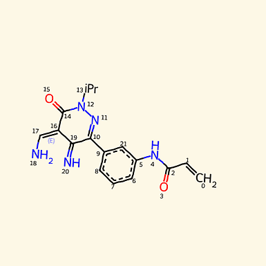 C=CC(=O)Nc1cccc(C2=NN(C(C)C)C(=O)/C(=C/N)C2=N)c1